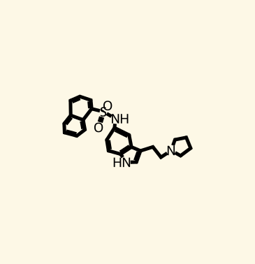 O=S(=O)(Nc1ccc2[nH]cc(CCN3CCCC3)c2c1)c1cccc2ccccc12